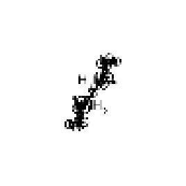 CCCCN1C(=O)C(=C(N)SCCCSSCCCSC(N)=C2C(=O)N(CCCC)C(=O)N(C3CCC4(CC3)CC3(C4)C(=O)N(C)C(=O)N3C[C@@H]3CCOC3)C2=O)C(=O)N(C2CCC3(CC2)CC2(C3)C(=O)N(C)C(=O)N2C[C@@H]2CCOC2)C1=O